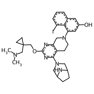 CN(C)CC1(COc2nc3c(c(N4CC5CCC(C4)N5)n2)CCN(c2cc(O)cc4cccc(I)c24)C3)CC1